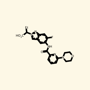 CCC(C(=O)O)n1cc2cc(NC(=O)c3cccc(N4CCOCC4)n3)c(F)cc2n1